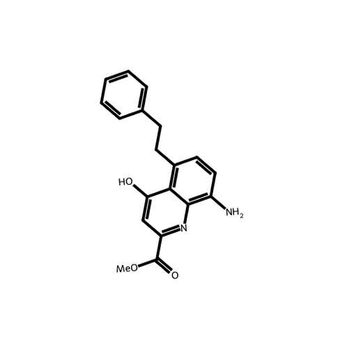 COC(=O)c1cc(O)c2c(CCc3ccccc3)ccc(N)c2n1